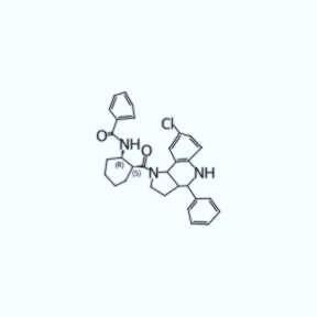 O=C(N[C@@H]1CCCC[C@@H]1C(=O)N1CCC2C(c3ccccc3)Nc3ccc(Cl)cc3C21)c1ccccc1